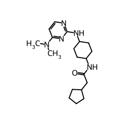 CN(C)c1ccnc(NC2CCC(NC(=O)CC3CCCC3)CC2)n1